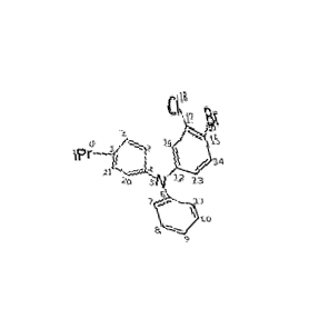 CC(C)c1ccc(N(c2ccccc2)c2ccc(Br)c(Cl)c2)cc1